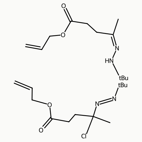 C=CCOC(=O)CCC(C)(Cl)N=NC(C)(C)C.C=CCOC(=O)CCC(C)=NNC(C)(C)C